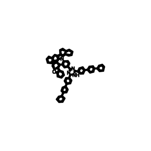 c1ccc(-c2ccc(-c3ccc(C4=NC(c5ccc(-n6c7cc8ccccc8cc7c7ccc8ccccc8c76)c(-c6cccc7oc8ccccc8c67)c5)=NC(c5ccc(-c6ccc(-c7ccccc7)cc6)cc5)N4)cc3)cc2)cc1